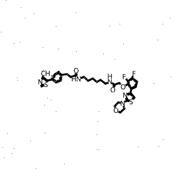 Cc1ncsc1-c1ccc(CCC(=O)NCCCCCCNC(=O)COc2c(-c3csc(N4CCOCC4)n3)ccc(F)c2F)cc1